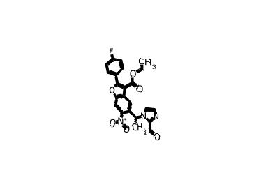 CCOC(=O)c1c(-c2ccc(F)cc2)oc2cc([N+](=O)[O-])c(C(C)n3ccnc3C=O)cc12